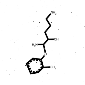 Cc1ccccc1OC(N)C(O)CCCN